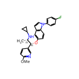 COc1ccc([C@@H](Oc2ccc3c(ccn3-c3ccc(F)cc3)c2)[C@H](C)NC2CC2)cn1